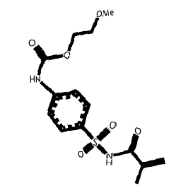 C=C(C)C(=O)NS(=O)(=O)c1ccc(NC(=O)OCCOC)cc1